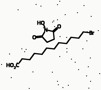 O=C(O)CCCCCCCCCCCBr.O=C1CCC(=O)N1O